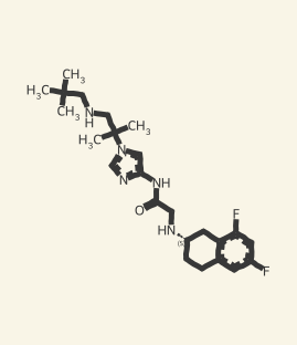 CC(C)(C)CNCC(C)(C)n1cnc(NC(=O)CN[C@H]2CCc3cc(F)cc(F)c3C2)c1